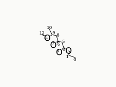 CCOC(=O)CC(=O)CC(C)OC